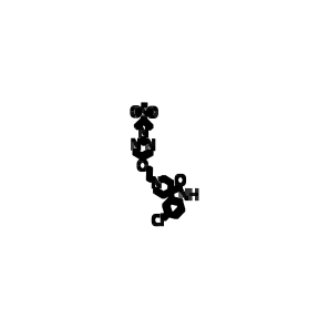 CS(=O)(=O)C1CN(c2ncc(OCCN3CCC4(CC3)C(=O)Nc3ccc(Cl)cc34)cn2)C1